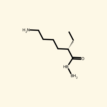 BBC(=O)[C@@H](CC)CCCCN